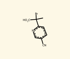 CC(Br)(C(=O)O)c1ccc(C#N)cn1